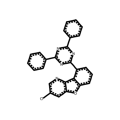 Clc1cnc2c(c1)oc1cccc(-c3nc(-c4ccccc4)nc(-c4ccccc4)n3)c12